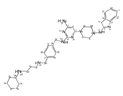 Nc1cc(N2CCN(NC3=Nc4ccccc4C3)CC2)nc(NCc2ccc(CNCCCNC3CCCCC3)cc2)n1